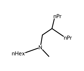 CCCCCCN(C)CC(CCC)CCC